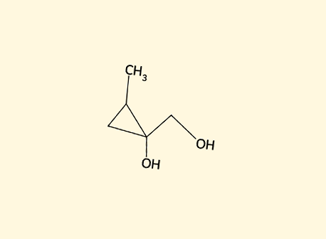 CC1CC1(O)CO